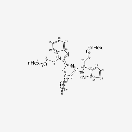 CCCCCCOCCn1c(-c2cccc(-c3nc4ccccc4n3CCOCCCCCC)n2)nc2ccccc21.[Cl-].[Cl-].[Cl-].[V+3]